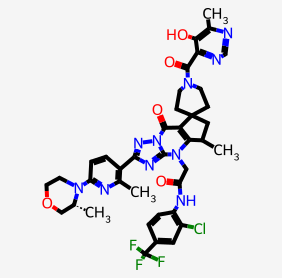 Cc1nc(N2CCOC[C@H]2C)ccc1-c1nc2n(CC(=O)Nc3ccc(C(F)(F)F)cc3Cl)c3c(c(=O)n2n1)C1(CCN(C(=O)c2ncnc(C)c2O)CC1)CC3C